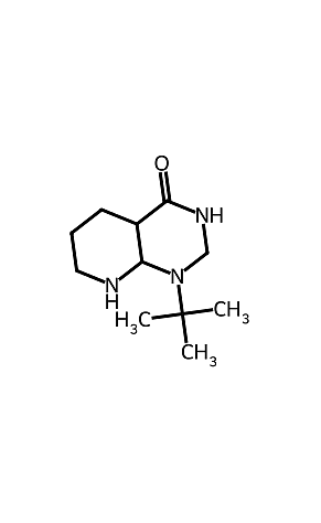 CC(C)(C)N1CNC(=O)C2CCCNC21